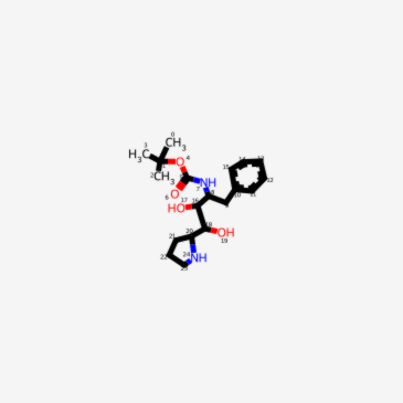 CC(C)(C)OC(=O)NC(Cc1ccccc1)C(O)C(O)C1CCCN1